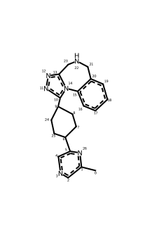 Cc1cncc(C2CCC(c3nnc4n3-c3ccccc3CNC4)CC2)n1